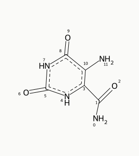 NC(=O)c1[nH]c(=O)[nH]c(=O)c1N